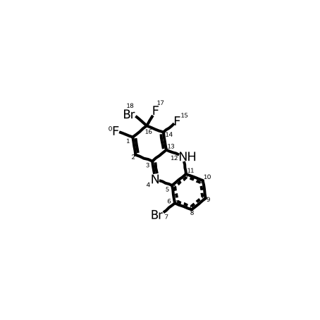 FC1=CC2=Nc3c(Br)cccc3NC2=C(F)C1(F)Br